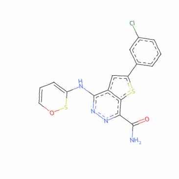 NC(=O)c1nnc(NC2=CC=COS2)c2cc(-c3cccc(Cl)c3)sc12